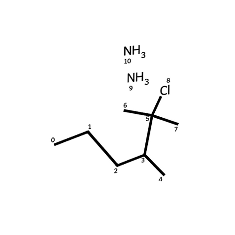 CCCC(C)C(C)(C)Cl.N.N